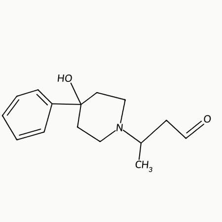 CC(CC=O)N1CCC(O)(c2ccccc2)CC1